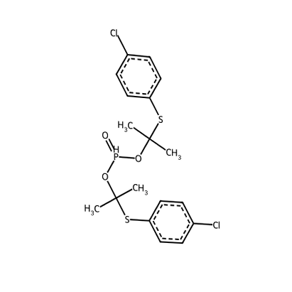 CC(C)(O[PH](=O)OC(C)(C)Sc1ccc(Cl)cc1)Sc1ccc(Cl)cc1